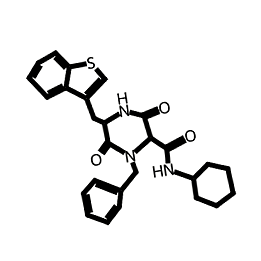 O=C(NC1CCCCC1)C1C(=O)NC(Cc2csc3ccccc23)C(=O)N1Cc1ccccc1